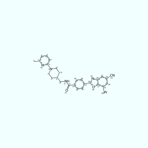 Cc1cccc(N2CCC(CNC(=O)c3ccc(-c4nc5cc(C#N)cc(C(C)C)c5o4)cc3)CC2)n1